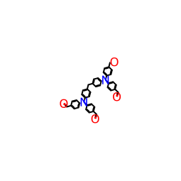 O=Cc1ccc(N(c2ccc(C=O)cc2)c2ccc(Cc3ccc(N(c4ccc(C=O)cc4)c4ccc(C=O)cc4)cc3)cc2)cc1